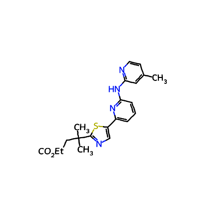 CCOC(=O)CC(C)(C)c1ncc(-c2cccc(Nc3cc(C)ccn3)n2)s1